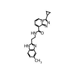 Cc1ccc2[nH]c(CCNC(=O)c3cccn4c(C5CC5)nnc34)nc2c1